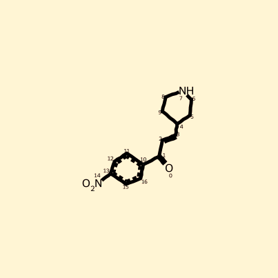 O=C(C=CC1CCNCC1)c1ccc([N+](=O)[O-])cc1